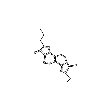 CCCc1nc2c(ccc3c2ccc2c(=O)c(CC)nc23)c1=O